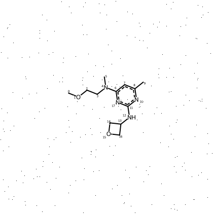 COCCN(C)c1cc(C)nc(NC2COC2)n1